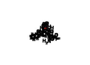 CCC(=O)NCC(=NC(N)=O)N(C(=O)O)N1CCC[C@](NS(=O)(=O)c2ccc3ccccc3c2)(C2CC2)[C@@H]1CCNS(C)(=O)=O